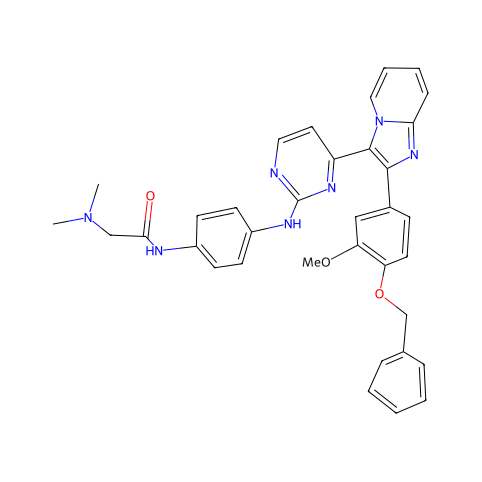 COc1cc(-c2nc3ccccn3c2-c2ccnc(Nc3ccc(NC(=O)CN(C)C)cc3)n2)ccc1OCc1ccccc1